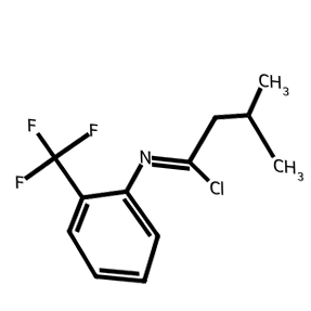 CC(C)CC(Cl)=Nc1ccccc1C(F)(F)F